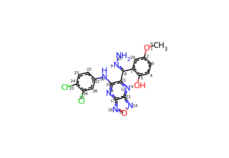 COc1ccc(O)c(C(=NN)c2nc3nonc3nc2Nc2ccc(Cl)c(Cl)c2)c1